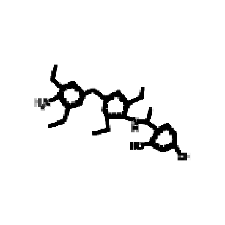 CCc1cc(Cc2cc(CC)c(NC(C)c3ccc(O)cc3O)c(CC)c2)cc(CC)c1N